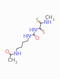 CNC(=S)C(=S)NC(=O)NCCCCNC(C)=O